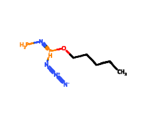 CCCCCO/[PH](N=[N+]=[N-])=N/P